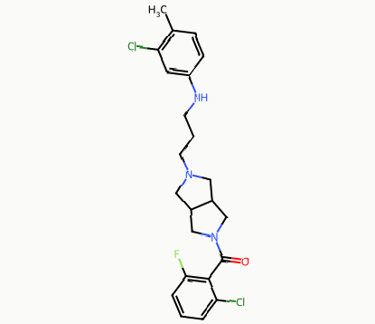 Cc1ccc(NCCCN2CC3CN(C(=O)c4c(F)cccc4Cl)CC3C2)cc1Cl